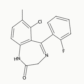 Cc1ccc2c(c1Cl)C(c1ccccc1F)=NCC(=O)N2